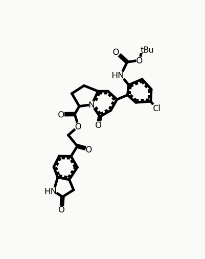 CC(C)(C)OC(=O)Nc1ccc(Cl)cc1-c1cc2n(c(=O)c1)C(C(=O)OCC(=O)c1ccc3c(c1)CC(=O)N3)CC2